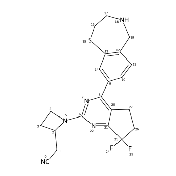 N#CCC1CCN1c1nc(-c2ccc3c(c2)SCCNC3)c2c(n1)C(F)(F)CC2